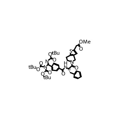 COC(=O)Cc1cc2c(s1)CCN(C(=O)[C@H](Cc1ccccc1)NC(=O)c1ccc(C(=NC(=O)OC(C)(C)C)N(C(=O)OC(C)(C)C)C(=O)OC(C)(C)C)cc1)C2